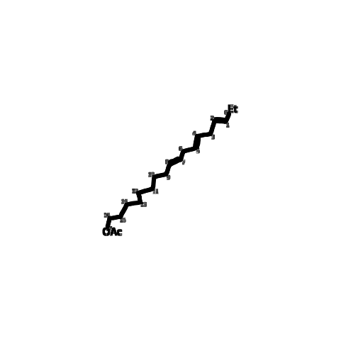 CCC=CCC=CCC=CCCCCCCCCOC(C)=O